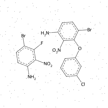 Nc1ccc(Br)c(F)c1[N+](=O)[O-].Nc1ccc(Br)c(Oc2cccc(Cl)c2)c1[N+](=O)[O-]